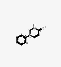 O=C1C=CN(c2ccccc2)CN1